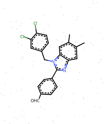 Cc1cc2nc(-c3ccc(C=O)cc3)n(Cc3ccc(Cl)c(Cl)c3)c2cc1C